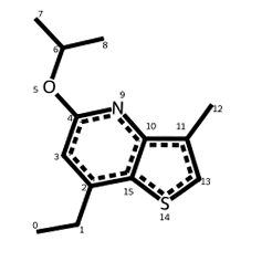 CCc1cc(OC(C)C)nc2c(C)csc12